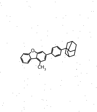 Cc1cc(-c2ccc(C34CC5CC(CC(C5)C3)C4)cc2)cc2oc3ccccc3c12